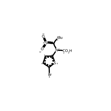 CC(C)(C)C(N(C(=O)O)c1ccc(Br)s1)=S(=O)=O